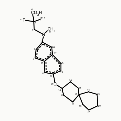 CN(CC(F)(F)C(=O)O)c1ccc2cc(OC3CCC4(CCCCC4)CC3)ccc2c1